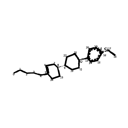 CCCCCC1=CCC([C@H]2CC[C@H](c3ccc([SiH2]C)cc3)CC2)CC1